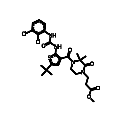 COC(=O)CCN1CCN(C(=O)c2cc(C(C)(C)C)sc2NC(=O)Nc2cccc(Cl)c2Cl)C(C)(C)C1=O